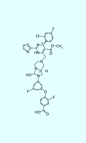 COC(=O)C1=C(CN2CCN3C(O)N(c4cc(F)cc(Oc5ccc(C(=O)O)cc5F)c4)C[C@@H]3C2)NC(c2nccs2)=N[C@H]1c1ccc(F)cc1Cl